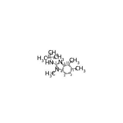 Cc1ccc2c(nc(NC(C)(C)C)n2C)c1C